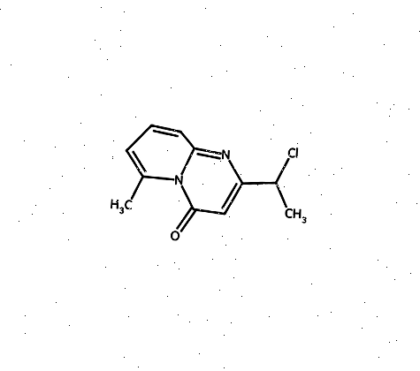 Cc1cccc2nc(C(C)Cl)cc(=O)n12